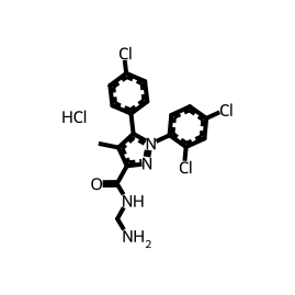 Cc1c(C(=O)NCN)nn(-c2ccc(Cl)cc2Cl)c1-c1ccc(Cl)cc1.Cl